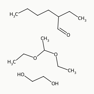 CCCCC(C=O)CC.CCOC(C)OCC.OCCO